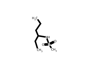 CCCC(CC)NS(C)(=O)=O